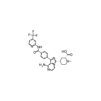 CN1CC[C@H](c2nc(-c3ccc(C(=O)Nc4cc(C(F)(F)F)ccn4)cc3)c3c(N)nccn23)C[C@@H]1C(=O)O